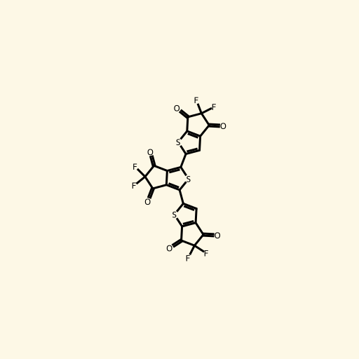 O=C1c2cc(-c3sc(-c4cc5c(s4)C(=O)C(F)(F)C5=O)c4c3C(=O)C(F)(F)C4=O)sc2C(=O)C1(F)F